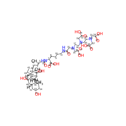 C[C@H](CCC(=O)N[C@@H](CCCCNC(=O)CN(CCN(CCN(CC(=O)O)CC(=O)O)CC(=O)O)CC(=O)O)C(=O)O)[C@H]1CC[C@H]2[C@@H]3[C@H](O)C[C@@H]4C[C@@H](O)CC[C@]4(C)[C@H]3C[C@H](O)[C@]12C